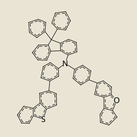 c1ccc(C2(c3ccccc3)c3ccccc3-c3c(N(c4ccc(-c5ccc6oc7ccccc7c6c5)cc4)c4cccc(-c5ccc6sc7ccccc7c6c5)c4)cccc32)cc1